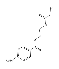 CC(=O)CC(=O)OCCOC(=O)c1ccc(NC(C)=O)cc1